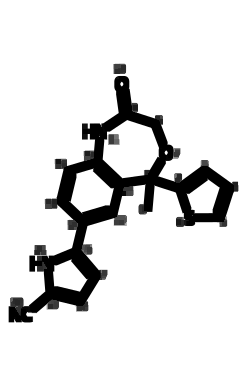 CC1(c2cccs2)OCC(=O)Nc2ccc(-c3ccc(C#N)[nH]3)cc21